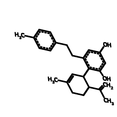 C=C(C)C1CCC(C)=CC1c1c(O)cc(O)cc1CCc1ccc(C)cc1